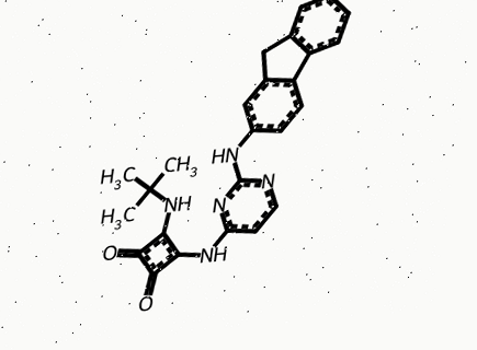 CC(C)(C)Nc1c(Nc2ccnc(Nc3ccc4c(c3)Cc3ccccc3-4)n2)c(=O)c1=O